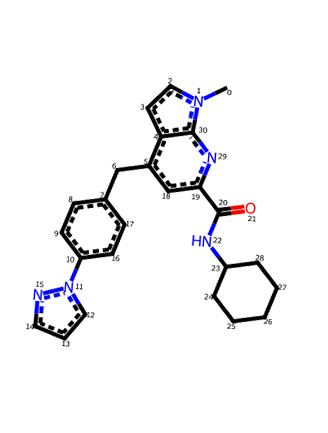 Cn1ccc2c(Cc3ccc(-n4cccn4)cc3)cc(C(=O)NC3CCCCC3)nc21